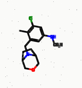 Cc1c(Cl)cc(NC(=O)O)cc1CN1C2CCC1COC2